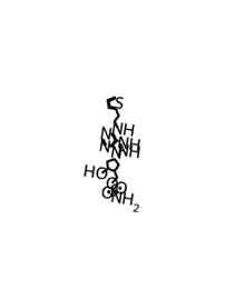 NS(=O)(=O)OCC1CC(N2NNc3c(NCCc4cccs4)ncnc32)CC1O